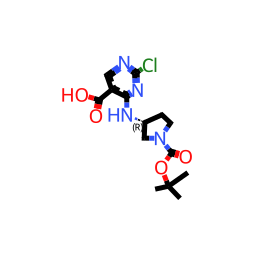 CC(C)(C)OC(=O)N1CC[C@@H](Nc2nc(Cl)ncc2C(=O)O)C1